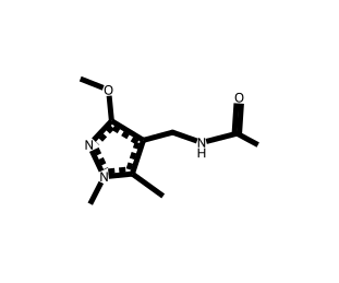 COc1nn(C)c(C)c1CNC(C)=O